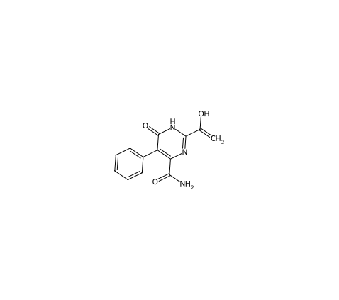 C=C(O)c1nc(C(N)=O)c(-c2ccccc2)c(=O)[nH]1